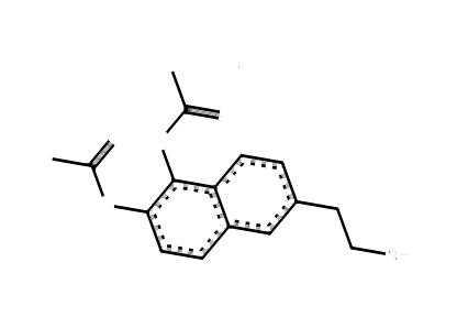 CC(=O)Oc1ccc2cc(CCN)ccc2c1OC(C)=O.Cl